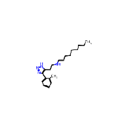 CCCCCCCCCNCCc1[nH]nnc1-c1ccccc1C